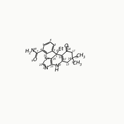 CCC1(c2cccc(C(N)=O)c2)C2=C(CC(C)(C)CC2=O)Nc2ncsc21